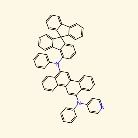 c1ccc(N(c2ccncc2)c2cc3c4ccccc4c(N(c4ccccc4)c4cccc5c4-c4ccccc4C54c5ccccc5-c5ccccc54)cc3c3ccccc23)cc1